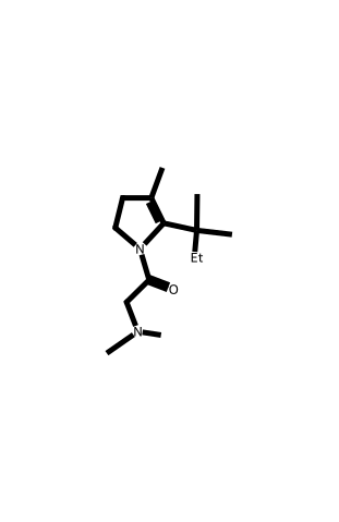 CCC(C)(C)C1=C(C)CCN1C(=O)CN(C)C